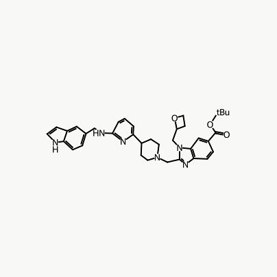 CC(C)(C)OC(=O)c1ccc2nc(CN3CCC(c4cccc(NCc5ccc6[nH]ccc6c5)n4)CC3)n(CC3CCO3)c2c1